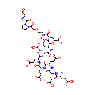 N[C@H](CCC(=O)O)C(=O)N[C@H](CCC(=O)O)C(=O)N[C@H](CCC(=O)O)C(=O)N[C@H](CCC(=O)O)C(=O)N[C@H](CCC(=O)O)C(=O)N[C@H](CCC(=O)O)C(=O)N[C@H](CCC(=O)O)C(=O)N[C@H](CCC(=O)O)C(=O)NCCOCC(=O)N1CCC[C@H]1C(=O)NCC=O